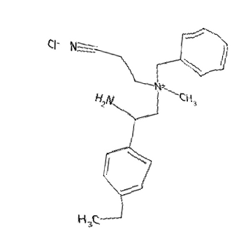 CCc1ccc(C(N)C[N+](C)(CCC#N)Cc2ccccc2)cc1.[Cl-]